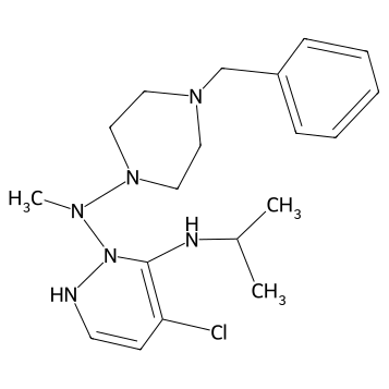 CC(C)NC1=C(Cl)C=CNN1N(C)N1CCN(Cc2ccccc2)CC1